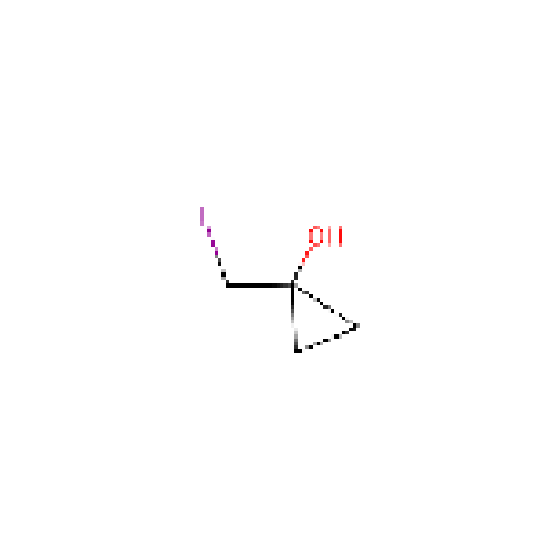 OC1(CI)CC1